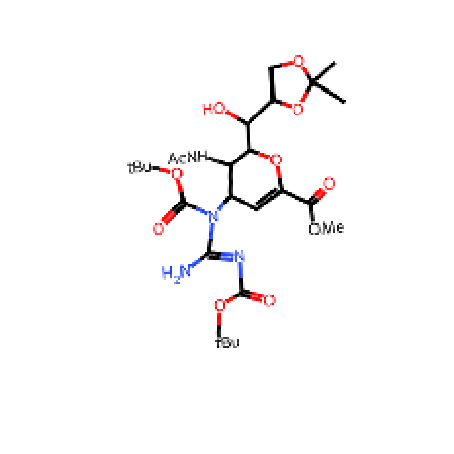 COC(=O)C1=CC(N(C(=O)OC(C)(C)C)C(N)=NC(=O)OC(C)(C)C)C(NC(C)=O)C(C(O)C2COC(C)(C)O2)O1